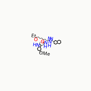 CCC(=O)CCCCC[C@H](NC(=O)Cc1c(C)[nH]c2ccc(OC)cc12)c1nnc(-c2ccc3ccccc3c2)[nH]1